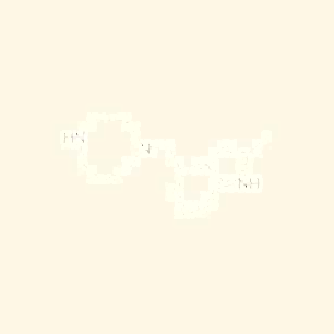 Cc1cc2c(CN3CCCNCC3)cccc2[nH]1